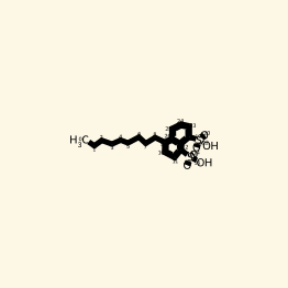 CCCCCCCCCc1ccc(S(=O)(=O)O)c2c(S(=O)(=O)O)cccc12